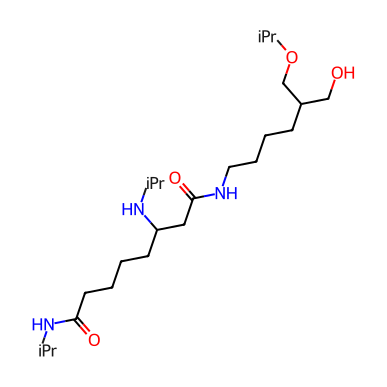 CC(C)NC(=O)CCCCC(CC(=O)NCCCCC(CO)COC(C)C)NC(C)C